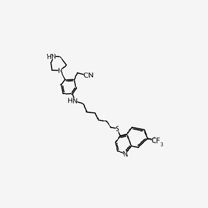 N#CCc1cc(NCCCCCCSc2ccnc3cc(C(F)(F)F)ccc23)ccc1N1CCNCC1